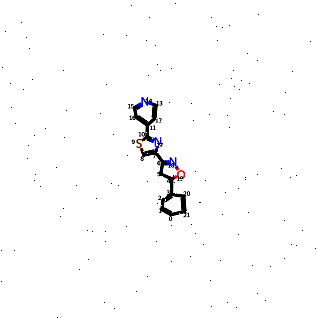 c1ccc(C2CC(c3csc(-c4ccncc4)n3)=NO2)cc1